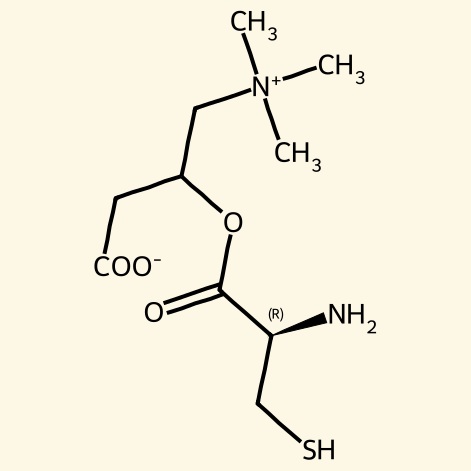 C[N+](C)(C)CC(CC(=O)[O-])OC(=O)[C@@H](N)CS